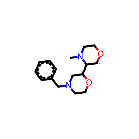 CN1CCO[CH]C1C1CN(Cc2ccccc2)CCO1